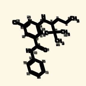 CCCC(Nc1cc(C(=O)Nc2ccccc2)nc(Cl)n1)C(C)(C)C